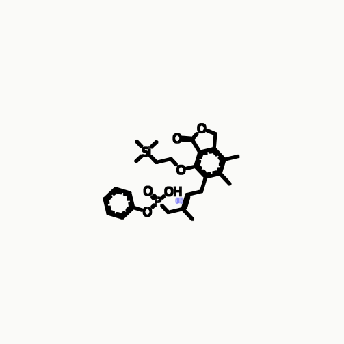 C/C(=C\Cc1c(C)c(C)c2c(c1OCC[Si](C)(C)C)C(=O)OC2)CP(=O)(O)Oc1ccccc1